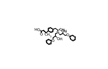 C/C(=C\C(=O)O)c1ccc(C[C@@H](C)N(CC(O)COc2ccccc2)CC(O)COc2ccccc2)cc1